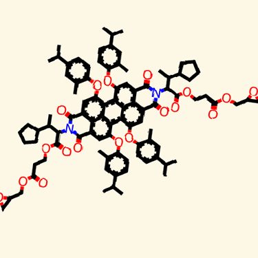 Cc1cc(C(C)C)ccc1Oc1cc2c3c(cc(Oc4ccc(C(C)C)cc4C)c4c5c(Oc6ccc(C(C)C)cc6C)cc6c7c(cc(Oc8ccc(C(C)C)cc8C)c(c1c34)c75)C(=O)N(C(C(=O)OCCC(=O)OCC1CO1)C(C)C1CCCC1)C6=O)C(=O)N(C(C(=O)OCCC(=O)OCC1CO1)C(C)C1CCCC1)C2=O